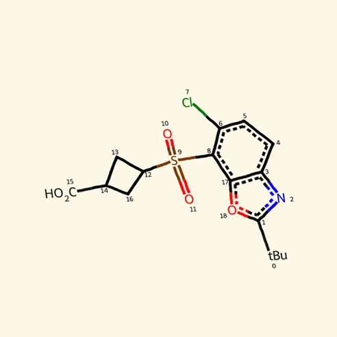 CC(C)(C)c1nc2ccc(Cl)c(S(=O)(=O)C3CC(C(=O)O)C3)c2o1